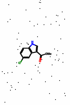 COC(=O)c1c[nH]c2ccc(Cl)cc12